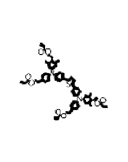 C=CC(=O)OCCc1ccc(N(c2ccc(-c3ccc(-c4ccc(N(c5ccc(CCOC(=O)C=C)cc5)c5cc(C)c(C(=C)OC(=O)C=C)c(C)c5)cc4)s3)cc2)c2cc(C)c(CCOC(=O)C=C)c(C)c2)cc1